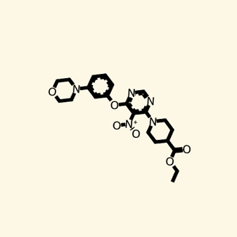 CCOC(=O)C1CCN(c2ncnc(Oc3cccc(N4CCOCC4)c3)c2[N+](=O)[O-])CC1